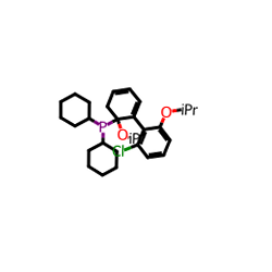 CC(C)Oc1cccc(Cl)c1C1=CC=CCC1(OC(C)C)P(C1CCCCC1)C1CCCCC1